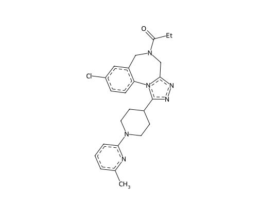 CCC(=O)N1Cc2cc(Cl)ccc2-n2c(nnc2C2CCN(c3cccc(C)n3)CC2)C1